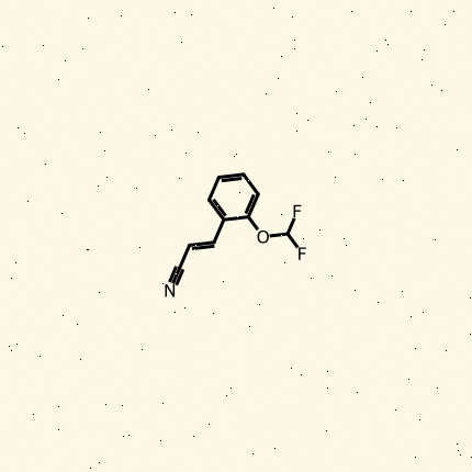 N#C/C=C/c1ccccc1OC(F)F